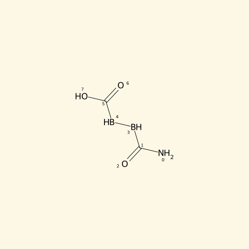 NC(=O)BBC(=O)O